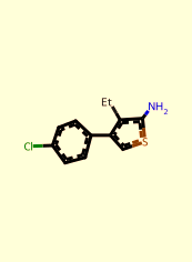 [CH2]Cc1c(-c2ccc(Cl)cc2)csc1N